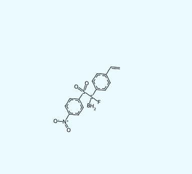 BS(F)(c1ccc(C=C)cc1)S(=O)(=O)c1ccc([N+](=O)[O-])cc1